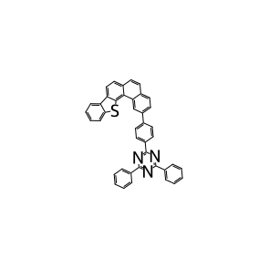 c1ccc(-c2nc(-c3ccccc3)nc(-c3ccc(-c4ccc5ccc6ccc7c8ccccc8sc7c6c5c4)cc3)n2)cc1